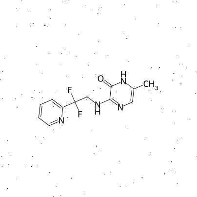 Cc1cnc(NCC(F)(F)c2ccccn2)c(=O)[nH]1